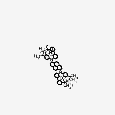 CC(C)c1ccc(N(c2ccc3ccc4c(N(c5ccc(C(C)C)cc5)c5cccc6c5oc5c(C(C)(C)C)cccc56)ccc5ccc2c3c54)c2cccc3c2oc2c(C(C)(C)C)cccc23)cc1